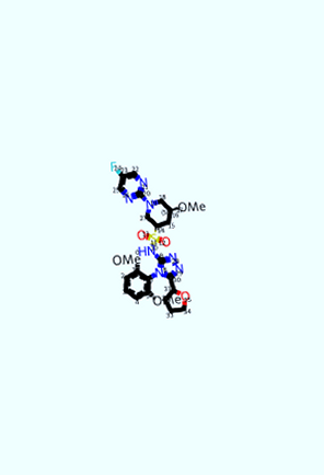 COc1cccc(OC)c1-n1c(NS(=O)(=O)[C@H]2C[C@H](OC)CN(c3ncc(F)cn3)C2)nnc1C1CCCO1